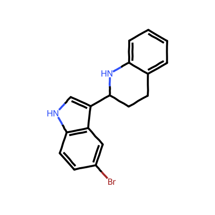 Brc1ccc2[nH]cc(C3CCc4ccccc4N3)c2c1